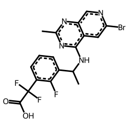 Cc1nc(NC(C)c2cccc(C(F)(F)C(=O)O)c2F)c2cc(Br)ncc2n1